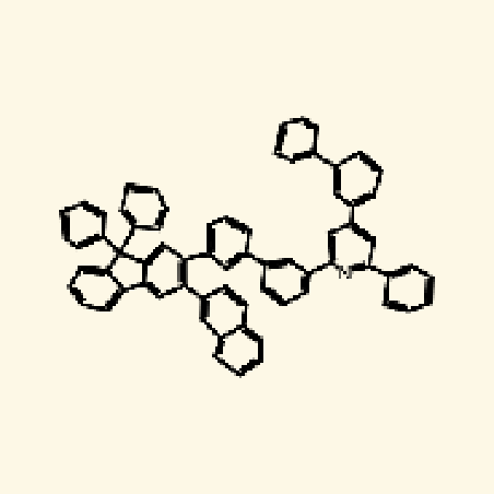 c1ccc(-c2cccc(-c3cc(-c4ccccc4)nc(-c4cccc(-c5cccc(-c6cc7c(cc6-c6ccc8ccccc8c6)-c6ccccc6C7(c6ccccc6)c6ccccc6)c5)c4)c3)c2)cc1